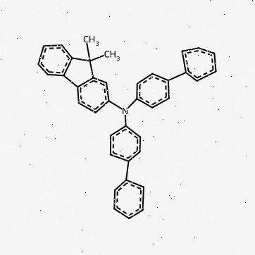 CC1(C)c2ccccc2-c2ccc(N(c3ccc(-c4ccccc4)cc3)c3ccc(-c4ccccc4)cc3)cc21